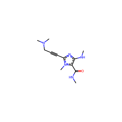 CNC(=O)c1c(NC)nc(C#CCN(C)C)n1C